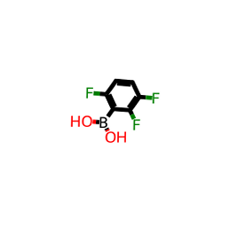 OB(O)c1c(F)ccc(F)c1F